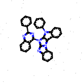 c1ccc(-c2nc(-n3c4c(c5ccccc5n4-c4ccccc4)n4c5ccccc5nc34)c3ccccc3n2)cc1